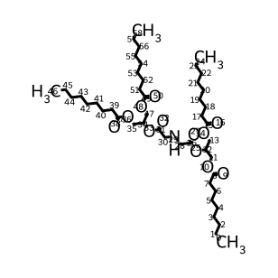 CCCCCCCCC(=O)OCC(COC(=O)CCCCCCCC)OC(=O)CNCC(=O)OC(COC(=O)CCCCCCCC)COC(=O)CCCCCCCC